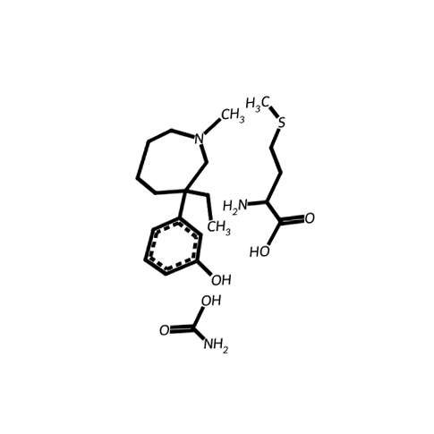 CCC1(c2cccc(O)c2)CCCCN(C)C1.CSCCC(N)C(=O)O.NC(=O)O